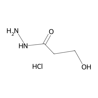 Cl.NNC(=O)CCO